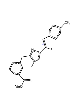 COC(=O)c1cccc(Cn2nc(/C(F)=C/c3ccc(C(F)(F)F)cc3)cc2C)c1